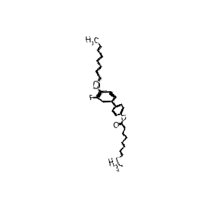 CCCCCCCCOc1ccc(-c2ccc(OC(=O)CCCCCCCC)cc2)cc1F